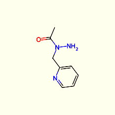 CC(=O)N(N)Cc1ccccn1